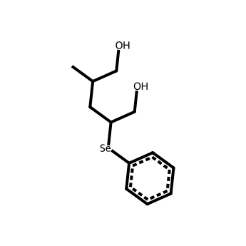 CC(CO)CC(CO)[Se]c1ccccc1